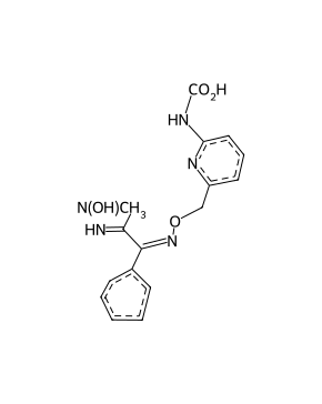 CN(O)C(=N)/C(=N\OCc1cccc(NC(=O)O)n1)c1ccccc1